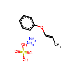 CC=COc1ccccc1.N.N.O=S(=O)(O)O